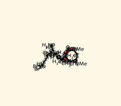 COc1cc2cc(c1Cl)N(C)C(=O)C[C@H](OC(=O)[C@H](C)N(C)C(=O)c1ccc(NC(=O)[C@H](CCCNC(N)=O)NC(=O)[C@@H](NC(=O)CCCCCNC(=O)C(CBr)CBr)C(C)C)cc1)[C@]1(C)O[C@H]1[C@H](C)[C@@H]1C[C@@](O)(NC(=O)O1)[C@H](OC)/C=C/C=C(\C)C2